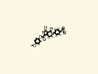 COc1ccc(OC(=O)c2n[nH]c3c2CCN(c2ccc([N+](=O)[O-])cc2)C3=O)cc1